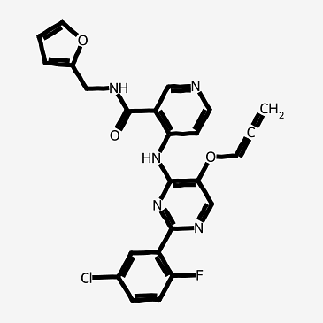 C=C=COc1cnc(-c2cc(Cl)ccc2F)nc1Nc1ccncc1C(=O)NCc1ccco1